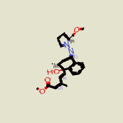 COC[C@H]1CCCN1/N=C1\C[C@@H](C)[C@@](O)(/C=C/C(C)=C\C(=O)OC)c2ccccc21